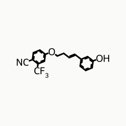 N#Cc1ccc(OCCC=Cc2cccc(O)c2)cc1C(F)(F)F